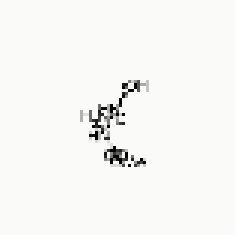 C=C(CC(N)C(=O)NCCCSO)NCCCS(=O)(=O)OC